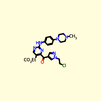 CCOC(=O)c1cnc(Nc2ccc(N3CCN(C)CC3)cc2)nc1C(=O)c1cnn(CCCl)c1